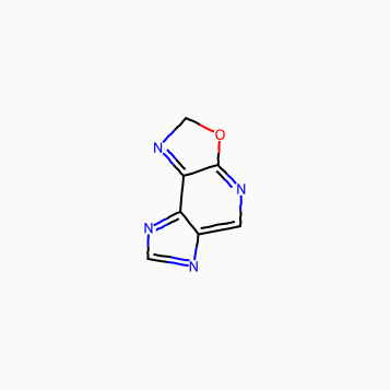 C1=Nc2cnc3c(c2=N1)=NCO3